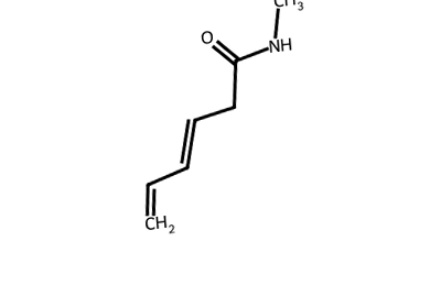 C=CC=CCC(=O)NC